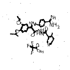 CCOc1cc(C(Nc2ccc(C(=N)N)cc2)C(=O)NNC(=O)c2cnccc2C)ccc1OC(C)C.O=C(O)C(F)(F)F